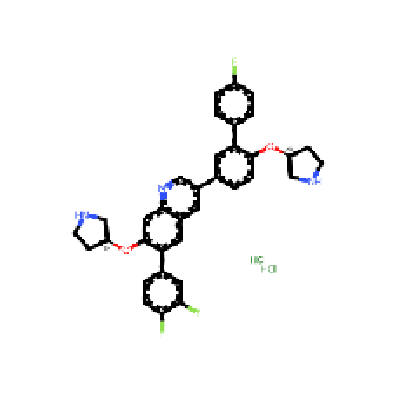 Cl.Cl.Fc1ccc(-c2cc(-c3cnc4cc(O[C@H]5CCNC5)c(-c5ccc(F)c(F)c5)cc4c3)ccc2O[C@H]2CCNC2)cc1